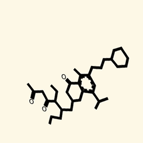 CCCC(CC1CC(=O)c2c(C)c(CCCC3CCCCC3)cc(C(C)C)c2C1)C(CC)C(=O)CC(C)=O